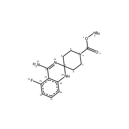 CCCCOC(=O)N1CCC2(CC1)N=C(N)c1c(F)cccc1N2